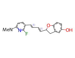 CNc1ccc(/C=C/C=C/C2Cc3cc(O)ccc3O2)c(F)n1